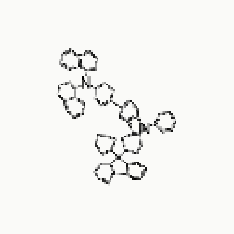 c1ccc(-n2c3ccc(-c4ccc(N(c5cccc6ccccc56)c5cccc6ccccc56)cc4)cc3c3cc(C4(c5ccccc5)c5ccccc5-c5ccccc54)ccc32)cc1